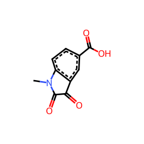 CN1C(=O)C(=O)c2cc(C(=O)O)ccc21